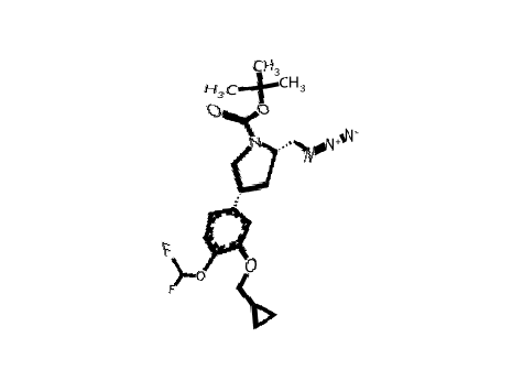 CC(C)(C)OC(=O)N1C[C@@H](c2ccc(OC(F)F)c(OCC3CC3)c2)C[C@H]1CN=[N+]=[N-]